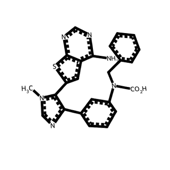 Cn1cnc(-c2cccc(N(Cc3ccccc3)C(=O)O)c2)c1-c1cc2c(N)ncnc2s1